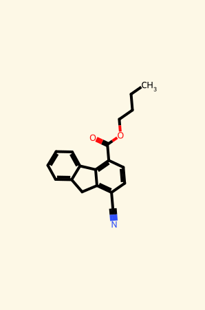 CCCCOC(=O)c1ccc(C#N)c2c1-c1ccccc1C2